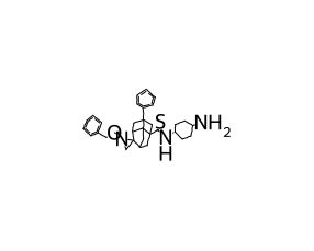 N[C@H]1CC[C@H](NC(=S)C23CC4CC(c5ccccc5)(CC(C2)C42CN2OCc2ccccc2)C3)CC1